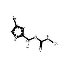 C[C@@H](OC(=O)NC(C)(C)C)c1cc(Br)cs1